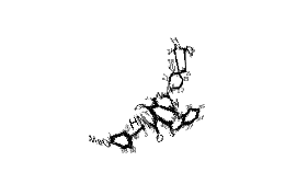 COc1ccc(CNC(=O)c2c(=O)c3cnc(N4CCC5(CC4)CNC(=O)C5)nc3n3c2sc2ccccc23)cc1